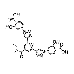 CCN(C)C(=O)c1cc(-c2cn(-c3ccc(C(=O)O)c(O)c3)nn2)nc(-c2cn(-c3ccc(C(=O)O)c(O)c3)nn2)c1